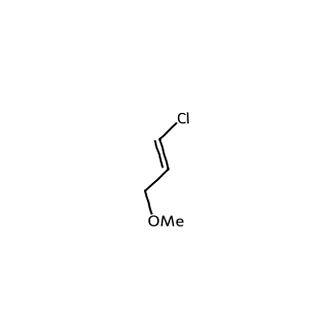 COCC=CCl